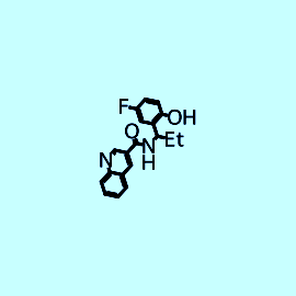 CCC(NC(=O)c1cnc2ccccc2c1)c1cc(F)ccc1O